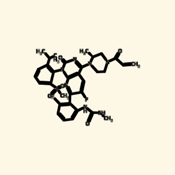 C=CC(=O)N1CCN(c2nc(=O)n(-c3c(C(C)C)cccc3S(C)(=O)=O)c3nc(-c4c(F)cccc4NC(=O)NC)c(F)cc23)[C@@H](C)C1